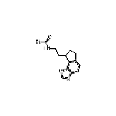 CCC(=O)NCCC1CCc2ccc3ncoc3c21